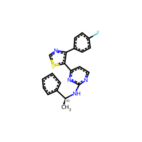 C[C@H](Nc1nccc(-c2scnc2-c2ccc(F)cc2)n1)c1ccccc1